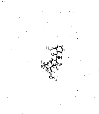 Cc1ccccc1C(=O)Nc1ccc(-c2cn(C)nc2C(F)(F)F)c(F)c1F